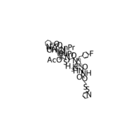 CCCN(C(=O)[C@@H](NC(=O)[C@H]1CCCCN1C)[C@@H](C)CC)[C@H](C[C@@H](OC(C)=O)c1nc(C(=O)N[C@@H](Cc2ccc(F)cc2)C[C@H](C)C(=O)NNC(=O)OCCSSc2ccccn2)cs1)C(C)C